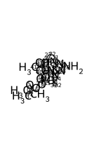 CC(C)(C)C(=O)OCOP(=O)(COC1(Cn2cnc3c(N4CCCCC4)nc(N)nc32)CC1)OCOC(=O)C(C)(C)C